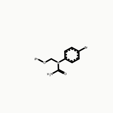 CC(C)OCN(C(N)=O)c1ccc(Br)cc1